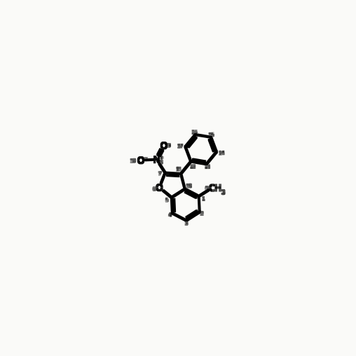 Cc1cccc2oc([N+](=O)[O-])c(-c3ccccc3)c12